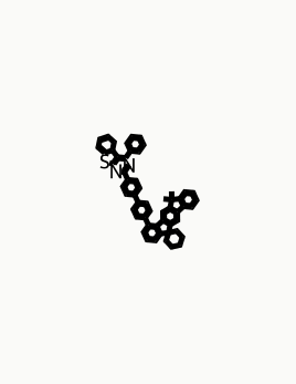 CC1(C)c2ccccc2-c2cc3c(cc21)-c1c(-c2ccc(-c4ccc(-c5nc6c(c(-c7ccccc7)n5)C5CC=CC=C5S6)cc4)cc2)cccc1C31CCCCC1